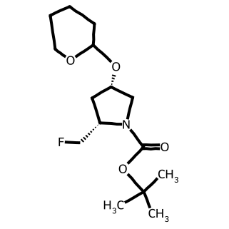 CC(C)(C)OC(=O)N1C[C@@H](OC2CCCCO2)C[C@H]1CF